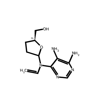 C=CN(c1ncnc(N)c1N)C1CC[C@@H](CO)O1